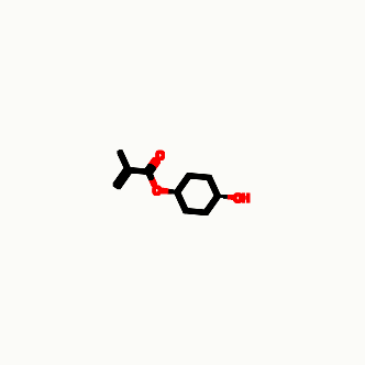 C=C(C)C(=O)O[C@H]1CC[C@H](O)CC1